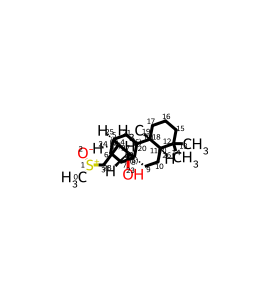 C[S+]([O-])C[C@H]1[C@H]2CC[C@@]3(CC[C@@H]4C(C)(C)CCC[C@@]4(C)[C@@H]3C2)[C@@H]1O